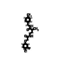 C=C(CCNC(=O)COc1ccc(Cl)c(F)c1)C(=O)NCc1ccc(C(F)(F)F)cn1